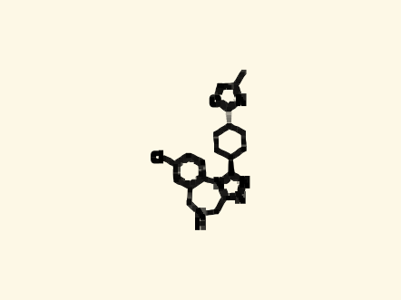 Cc1coc([C@H]2CC[C@H](c3nnc4n3-c3ccc(Cl)cc3CNC4)CC2)n1